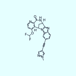 Cn1cc(C#Cc2ccc3nc4n(c3c2)[C@@H]2C[C@H]4NC(=O)c3nccc(OC(F)F)c32)cn1